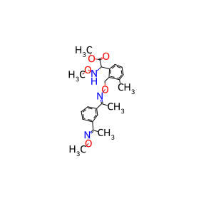 CO/N=C(\C)c1cccc(/C(C)=N/OCc2c(C)cccc2C(NOC)C(=O)OC)c1